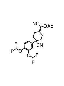 CC(=O)OC(C#N)=C1CCC(C#N)(c2ccc(OC(F)F)c(OC(F)F)c2)CC1